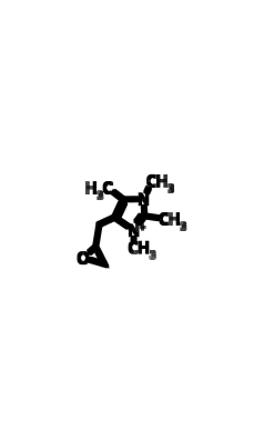 Cc1c(CC2CO2)[n+](C)c(C)n1C